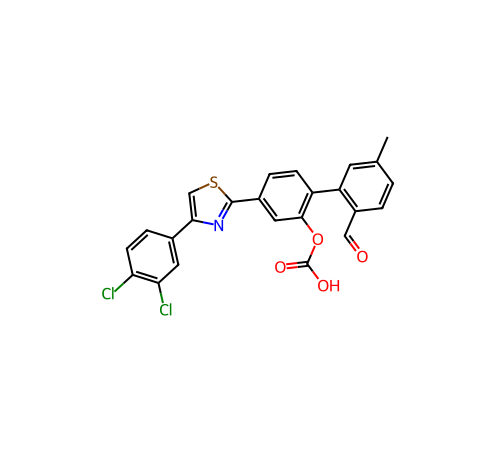 Cc1ccc(C=O)c(-c2ccc(-c3nc(-c4ccc(Cl)c(Cl)c4)cs3)cc2OC(=O)O)c1